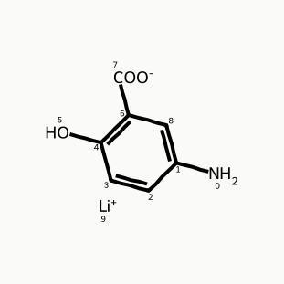 Nc1ccc(O)c(C(=O)[O-])c1.[Li+]